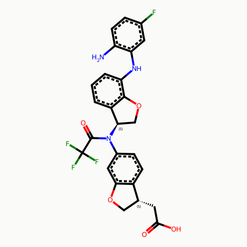 Nc1ccc(F)cc1Nc1cccc2c1OC[C@H]2N(C(=O)C(F)(F)F)c1ccc2c(c1)OC[C@H]2CC(=O)O